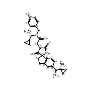 C[C@@H](C1CC1)N(Cc1ccc(F)cc1)C(=O)CN1C(=O)OC2(CCc3cc(N(C)C4(N)CC4)ccc32)C1=O